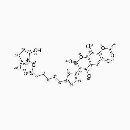 CC(=O)Oc1c(Cl)cc2c(Cl)c(-c3ccc(CCCCCC(=O)ON4C(=O)CCC4O)s3)c(=O)oc2c1Cl